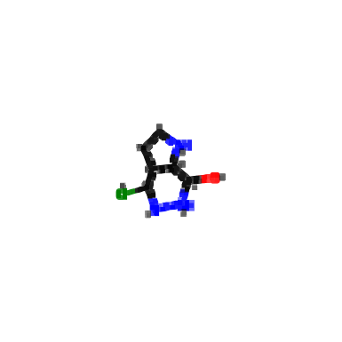 O=c1[nH]nc(Cl)c2cc[nH]c12